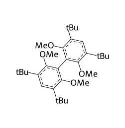 COc1c(C(C)(C)C)cc(C(C)(C)C)c(OC)c1-c1c(OC)c(C(C)(C)C)cc(C(C)(C)C)c1OC